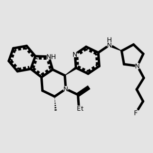 C=C(CC)N1[C@H](c2ccc(N[C@H]3CCN(CCCF)C3)cn2)c2[nH]c3ccccc3c2C[C@H]1C